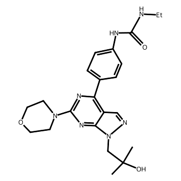 CCNC(=O)Nc1ccc(-c2nc(N3CCOCC3)nc3c2cnn3CC(C)(C)O)cc1